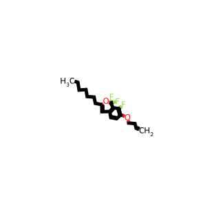 C=CCCOc1ccc2c(c1F)C(F)(F)OC(CCCCCCC)=C2